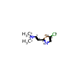 CN(C)/C=C/c1ncc(Cl)s1